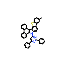 Cc1ccc2sc3c(ccc4c3c3c5ccccc5c5ccccc5c3n4-c3cc(-c4ccccc4)nc(-c4ccccc4)n3)c2c1